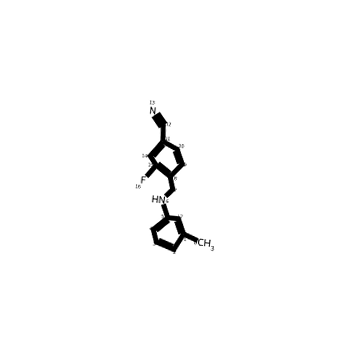 Cc1cccc(NCc2ccc(C#N)cc2F)c1